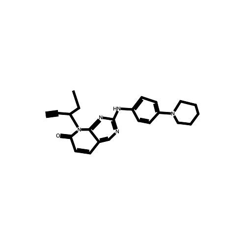 C#CC(CC)n1c(=O)ccc2cnc(Nc3ccc(N4CCCCC4)cc3)nc21